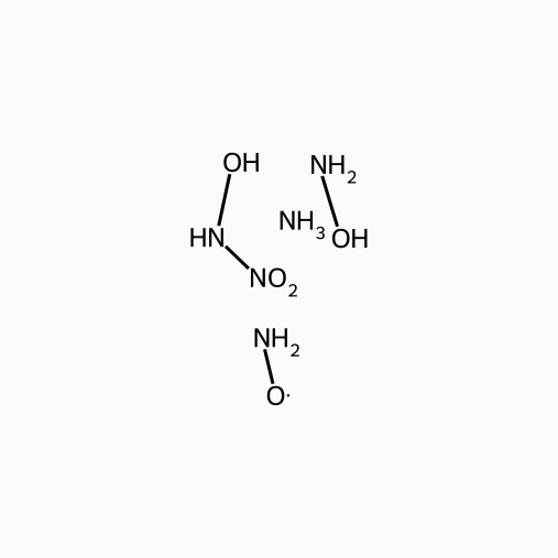 N.NO.N[O].O=[N+]([O-])NO